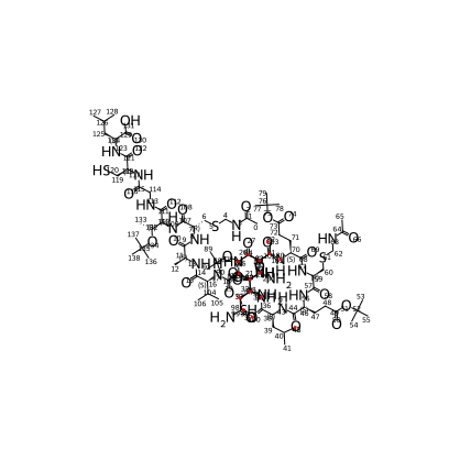 CC(=O)NCSC[C@H](NC(=O)[C@H](C)NC(=O)[C@@H](NC(=O)[C@H](CC(N)=O)NC(=O)[C@@H](NC(=O)[C@H](CS)NC(=O)[C@H](CC(C)C)NC(=O)[C@H](CCC(=O)OC(C)(C)C)NC(=O)[C@H](CSCNC(C)=O)NC(=O)[C@H](CCC(=O)OC(C)(C)C)NC(=O)[C@H](CC(=O)OC(C)(C)C)NC(=O)[C@@H](N)CC(N)=O)C(C)C)C(C)C)C(=O)N[C@H](C(=O)NCC(=O)N[C@@H](CS)C(=O)N[C@@H](CC(C)C)C(=O)O)[C@@H](C)OC(C)(C)C